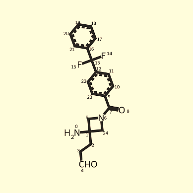 NC1(CCC=O)CN(C(=O)c2ccc(C(F)(F)c3ccccc3)cc2)C1